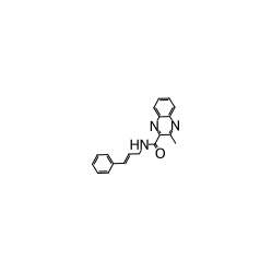 Cc1nc2ccccc2nc1C(=O)NCC=Cc1ccccc1